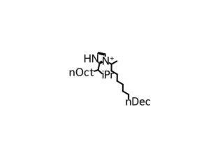 CCCCCCCCCCCCCCCCC(C)[n+]1cc[nH]c1C(CCCCCCCC)C(C)C